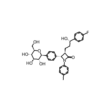 Cc1ccc(N2C(=O)[C@H](CC[C@H](O)c3ccc(F)cc3)[C@H]2c2ccc([C@@H]3O[C@H](CO)[C@@H](O)[C@H](O)[C@H]3O)cc2)cc1